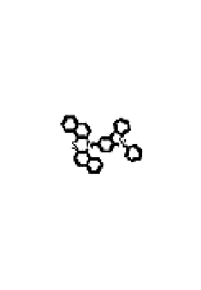 c1ccc(-n2c3ccccc3c3cc(N4c5ccc6ccccc6c5Sc5ccc6ccccc6c54)ccc32)cc1